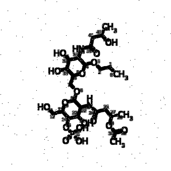 CCCOC1OC(COC2OC(CO)C(OP(=O)(O)O)C(O)C2NC(=O)C[C@@H](C)OC(C)=O)C(O)C(O)C1NC(=O)C[C@@H](C)O